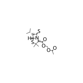 CC(=O)OCOC(=O)[C@@H]1N2C(=S)[C@@H](C(C)C)[C@H]2SC1(C)C